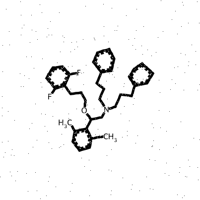 Cc1cccc(C)c1C(CN(CCCc1ccccc1)CCCc1ccccc1)OCCCc1c(F)cccc1F